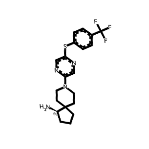 N[C@@H]1CCCC12CCN(c1cnc(Sc3ccc(C(F)(F)F)cc3)cn1)CC2